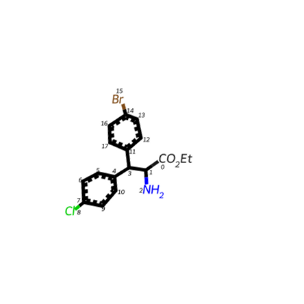 CCOC(=O)C(N)C(c1ccc(Cl)cc1)c1ccc(Br)cc1